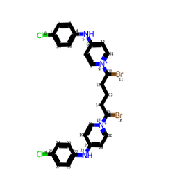 Clc1ccc(Nc2cc[n+](C(Br)CCCC(Br)[n+]3ccc(Nc4ccc(Cl)cc4)cc3)cc2)cc1